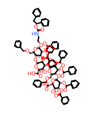 O=C(NCCO[C@@H]1O[C@H](COCc2ccccc2)[C@@H](O[C@@H]2O[C@H](C(=O)O)[C@@H](O)[C@H](O[C@@H]3O[C@H](COCc4ccccc4)[C@@H](O[C@@H]4O[C@H](C(=O)O)[C@@H](O)[C@H](OC(=O)c5ccccc5)[C@H]4OC(=O)c4ccccc4)[C@H](OC(=O)c4ccccc4)[C@H]3OC(=O)c3ccccc3)[C@H]2OC(=O)c2ccccc2)[C@H](OC(=O)c2ccccc2)[C@H]1OC(=O)c1ccccc1)OC(Cc1ccccc1)c1ccccc1